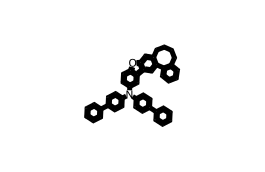 c1ccc(-c2ccc(N(c3ccc(-c4ccccc4)cc3)c3ccc4oc5cc6c(cc5c4c3)-c3ccccc3CCCC6)cc2)cc1